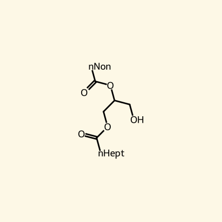 CCCCCCCCCC(=O)OC(CO)COC(=O)CCCCCCC